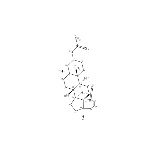 CC(=O)O[C@@H]1CC[C@@]2(C)[C@@H](CC[C@@H]3[C@@H]2CC[C@@]24C(=O)C=CC[C@H]2CC[C@@H]34)C1